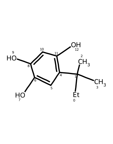 CCC(C)(C)c1cc(O)c(O)cc1O